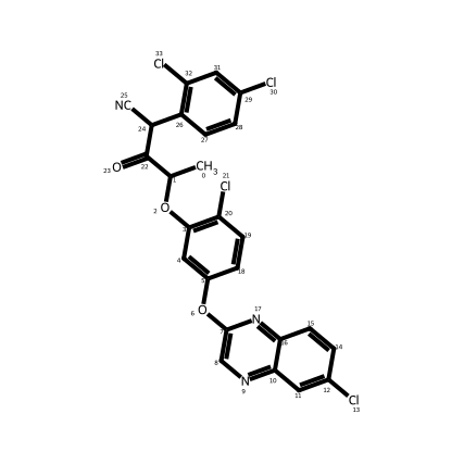 CC(Oc1cc(Oc2cnc3cc(Cl)ccc3n2)ccc1Cl)C(=O)C(C#N)c1ccc(Cl)cc1Cl